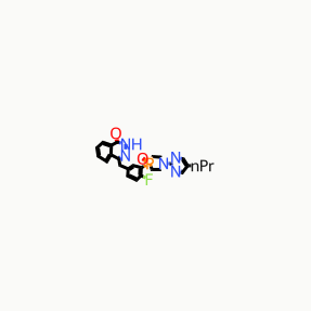 CCCc1cnc(N2CCP(=O)(c3cc(Cc4n[nH]c(=O)c5ccccc45)ccc3F)CC2)nc1